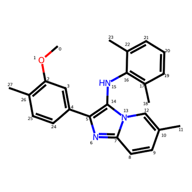 COc1cc(-c2nc3ccc(C)cn3c2Nc2c(C)cccc2C)ccc1C